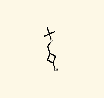 CC(C)(C)OCC1CC(O)C1